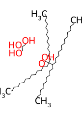 CCCCCCCCCCCCCCC(CCCCCCCCCCC)C(CCCCCCCCCCCCCC)(CCCCCCCCCCCCCC)C(=O)O.OCC(O)CO